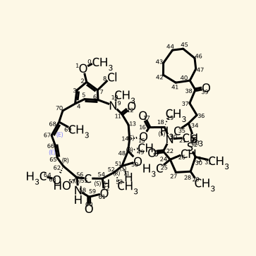 COc1cc2cc(c1Cl)N(C)C(=O)C[C@H](OC(=O)[C@H](C)N(C)C(=O)C(C)(C)CC(C)C(C)SSC(C)CCC(=O)C1CCCCCCC1)[C@@]1(C)O[C@H]1[C@H](C)[C@@H]1C[C@@](O)(NC(=O)O1)[C@H](OC)/C=C/C=C(\C)C2